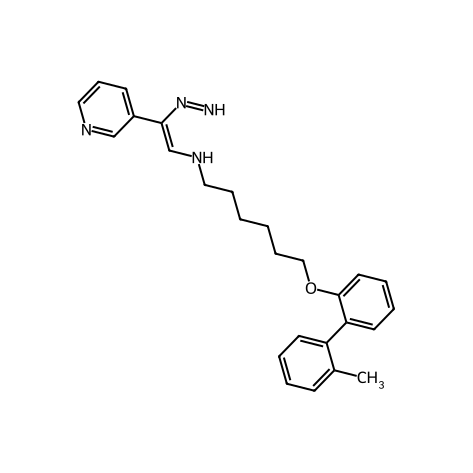 Cc1ccccc1-c1ccccc1OCCCCCCN/C=C(\N=N)c1cccnc1